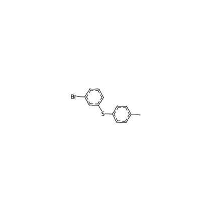 Cc1ccc(Sc2cccc(Br)c2)cc1